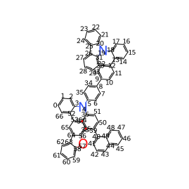 c1ccc(N(c2ccc(-c3ccc(-c4ccccc4-n4c5ccccc5c5ccccc54)cc3)cc2)c2ccc(-c3cccc4ccccc34)cc2)c(-c2ccc3oc4ccccc4c3c2)c1